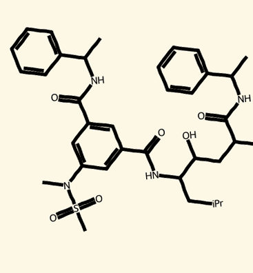 CC(C)CC(NC(=O)c1cc(C(=O)NC(C)c2ccccc2)cc(N(C)S(C)(=O)=O)c1)C(O)CC(C)C(=O)NC(C)c1ccccc1